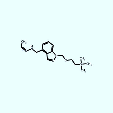 C/C=N\NCc1cccc2c1cnn2COCC[Si](C)(C)C